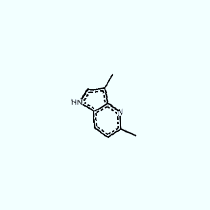 Cc1ccc2[nH]cc(C)c2n1